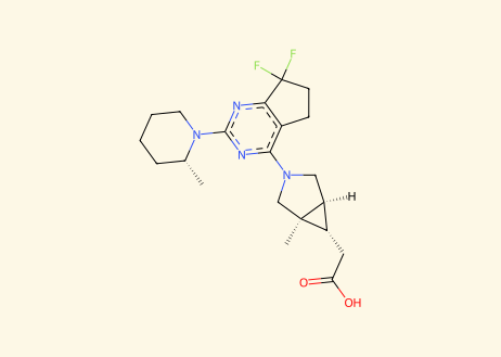 C[C@@H]1CCCCN1c1nc(N2C[C@H]3[C@H](CC(=O)O)[C@@]3(C)C2)c2c(n1)C(F)(F)CC2